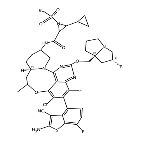 CCS(=O)(=O)N1C(C(=O)NC2CC[C@@H]3CC(C)Oc4c(Cl)c(-c5ccc(F)c6sc(N)c(C#N)c56)c(F)c5nc(OC[C@@]67CCCN6C[C@H](F)C7)nc(c45)N3C2)C1C1CC1